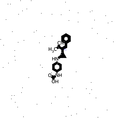 CC(C)/C(=C\c1ccccc1)C1CC1N[C@H]1CC[C@H](NC(=O)O)CC1